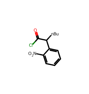 CCCCC(C(=O)Cl)c1ccccc1[N+](=O)[O-]